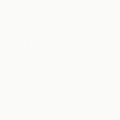 CCOC(=O)CCCCC(C=O)Cc1cc(F)c(O[Si](C(C)C)(C(C)C)C(C)C)c(F)c1